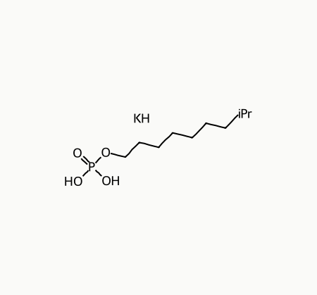 CC(C)CCCCCCCOP(=O)(O)O.[KH]